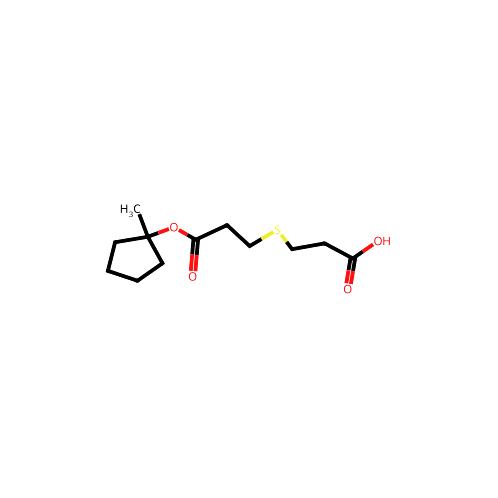 CC1(OC(=O)CCSCCC(=O)O)CCCC1